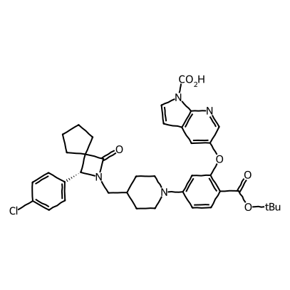 CC(C)(C)OC(=O)c1ccc(N2CCC(CN3C(=O)C4(CCCC4)[C@H]3c3ccc(Cl)cc3)CC2)cc1Oc1cnc2c(ccn2C(=O)O)c1